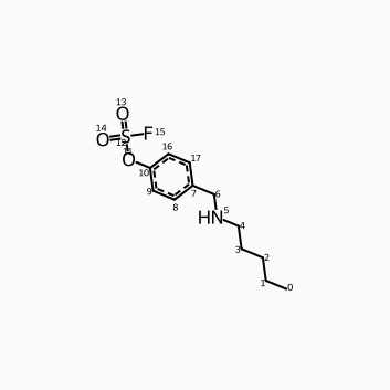 CCCCCNCc1ccc(OS(=O)(=O)F)cc1